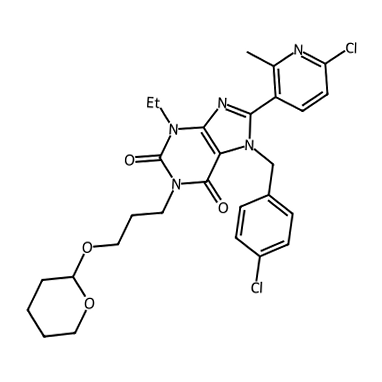 CCn1c(=O)n(CCCOC2CCCCO2)c(=O)c2c1nc(-c1ccc(Cl)nc1C)n2Cc1ccc(Cl)cc1